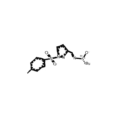 Cc1ccc(S(=O)(=O)n2ccc(C=N[S@@+]([O-])C(C)(C)C)n2)cc1